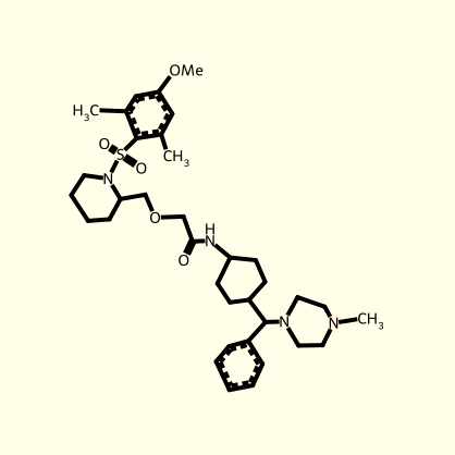 COc1cc(C)c(S(=O)(=O)N2CCCCC2COCC(=O)NC2CCC(C(c3ccccc3)N3CCN(C)CC3)CC2)c(C)c1